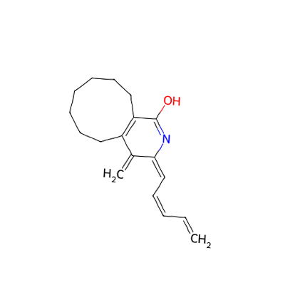 C=C/C=C\C=c1\nc(O)c2c(c1=C)CCCCCCC2